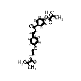 C=C(C)C(=O)OCCOc1ccc(/C=C/C(=O)c2ccc(OC(=O)C(=C)C)cc2)cc1